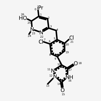 CC(C)C1=CC(Cc2c(Cl)cc(-c3nn(C)c(=O)[nH]c3=O)cc2Cl)=NN(C)C1O